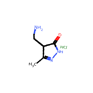 CC1=NNC(=O)C1CN.Cl